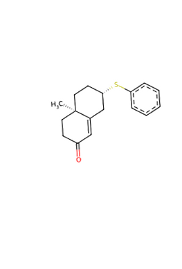 C[C@@]12CCC(=O)C=C1C[C@@H](Sc1ccccc1)CC2